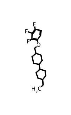 CCC1CCC(C2CCC(COc3ccc(F)c(F)c3F)CC2)CC1